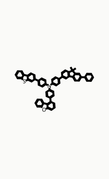 CC1(C)c2ccc(-c3ccc(N(c4ccc(-c5ccc6c(c5)sc5ccccc56)cc4)c4ccc(-c5cccc6oc7ccccc7c56)cc4)cc3)cc2-c2ccc(-c3ccccc3)cc21